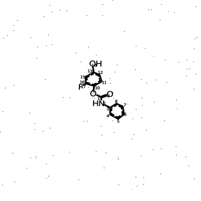 O=C(Nc1ccccc1)Oc1ccc(O)cc1F